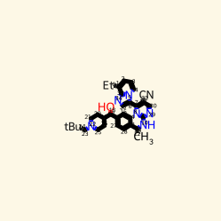 CCc1cccn2c(-c3nc(N[C@@H](C)c4ccc(C(O)C5CCN(CC(C)(C)C)CC5)cc4)ncc3C#N)cnc12